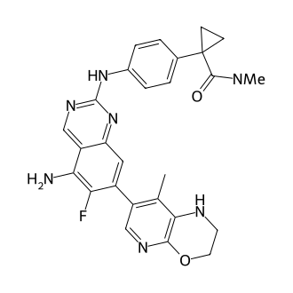 CNC(=O)C1(c2ccc(Nc3ncc4c(N)c(F)c(-c5cnc6c(c5C)NCCO6)cc4n3)cc2)CC1